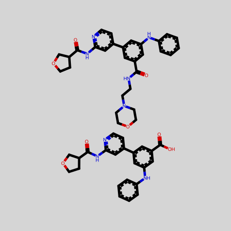 O=C(NCCN1CCOCC1)c1cc(Nc2ccccc2)cc(-c2ccnc(NC(=O)C3CCOC3)c2)c1.O=C(O)c1cc(Nc2ccccc2)cc(-c2ccnc(NC(=O)C3CCOC3)c2)c1